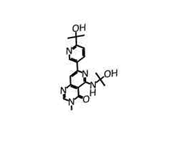 Cn1cnc2cc(-c3ccc(C(C)(C)O)nc3)nc(NC(C)(C)O)c2c1=O